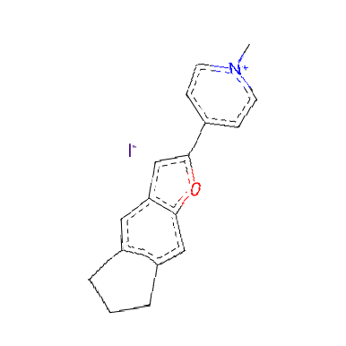 C[n+]1ccc(-c2cc3cc4c(cc3o2)CCC4)cc1.[I-]